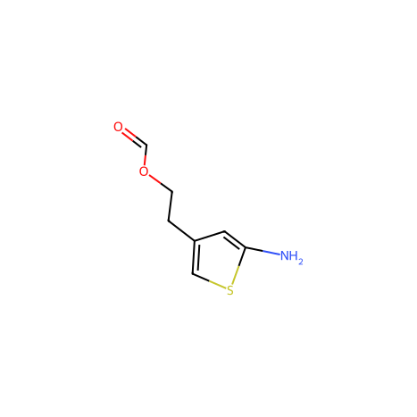 Nc1cc(CCOC=O)cs1